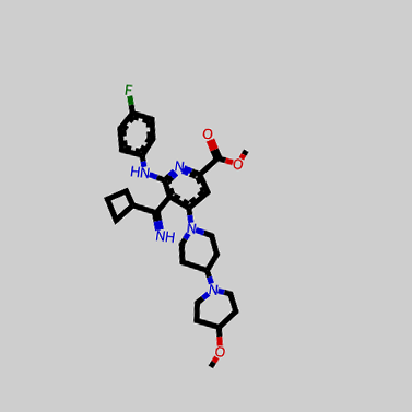 COC(=O)c1cc(N2CCC(N3CCC(OC)CC3)CC2)c(C(=N)C2CCC2)c(Nc2ccc(F)cc2)n1